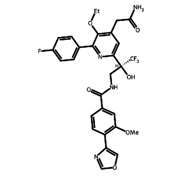 CCOc1c(CC(N)=O)cc([C@@](O)(CNC(=O)c2ccc(-c3cocn3)c(OC)c2)C(F)(F)F)nc1-c1ccc(F)cc1